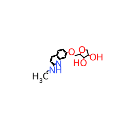 CCNc1ccc2ccc(OCC3OCC(O)C3O)cc2n1